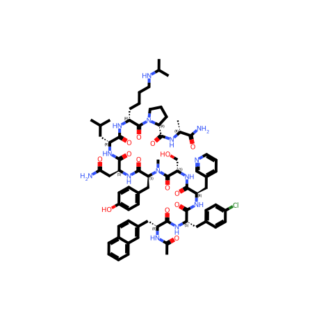 CC(=O)N[C@H](Cc1ccc2ccccc2c1)C(=O)N[C@@H](Cc1ccc(Cl)cc1)C(=O)N[C@H](Cc1cccnc1)C(=O)N[C@@H](CO)C(=O)N(C)[C@@H](Cc1ccc(O)cc1)C(=O)N[C@@H](CC(N)=O)C(=O)N[C@H](CC(C)C)C(=O)N[C@H](CCCCNC(C)C)C(=O)N1CCC[C@@H]1C(=O)N[C@H](C)C(N)=O